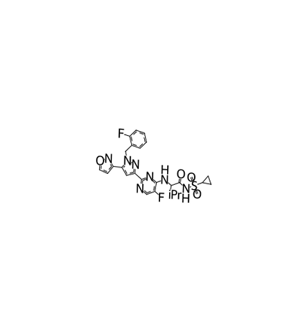 CC(C)C(Nc1nc(-c2cc(-c3ccon3)n(Cc3ccccc3F)n2)ncc1F)C(=O)NS(=O)(=O)C1CC1